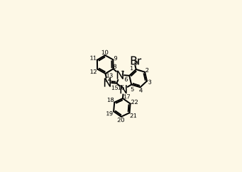 Brc1cccc2c1n1c3ccccc3nc1n2-c1ccccc1